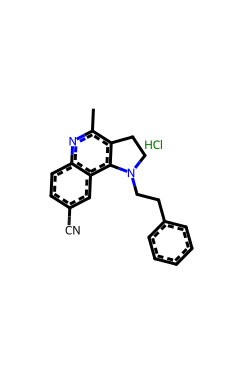 Cc1nc2ccc(C#N)cc2c2c1CCN2CCc1ccccc1.Cl